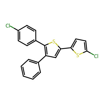 Clc1ccc(-c2sc(-c3ccc(Cl)s3)cc2-c2ccccc2)cc1